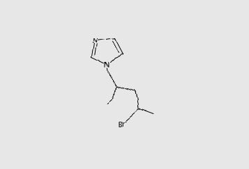 CC(Br)CC(C)n1ccnc1